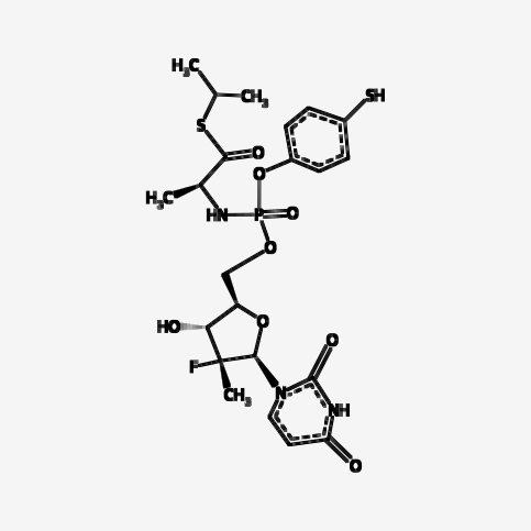 CC(C)SC(=O)[C@H](C)NP(=O)(OC[C@H]1O[C@@H](n2ccc(=O)[nH]c2=O)[C@](C)(F)[C@@H]1O)Oc1ccc(S)cc1